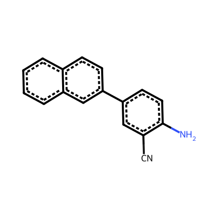 N#Cc1cc(-c2ccc3ccccc3c2)ccc1N